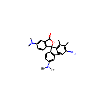 CCN(CC)c1ccc(C2(c3ccc(N)c(C)c3C)OC(=O)c3cc(N(C)C)ccc32)c(C)c1